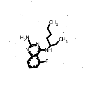 CCCCC(CC)Nc1nc(N)nc2cccc(F)c12